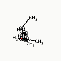 CCCCCCCCCCCCS(=O)(=O)Nc1ccc(Cl)c(NC(=O)C(Oc2ccccc2NS(=O)(=O)C(CCC)CCCCCCCC)C(=O)C(C)(C)C)c1